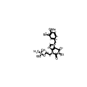 CCn1c(=O)c2c(ncn2Cc2ccc(OC)c(Br)c2)n(CCO[Si](C)(C)C(C)(C)C)c1=O